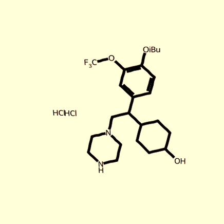 CC(C)COc1ccc(C(CN2CCNCC2)C2CCC(O)CC2)cc1OC(F)(F)F.Cl.Cl